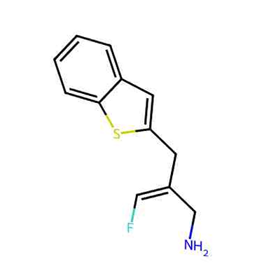 NCC(=CF)Cc1cc2ccccc2s1